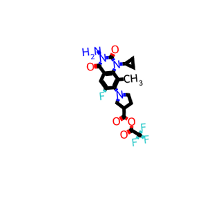 Cc1c(N2CCC(C(=O)OC(=O)C(F)(F)F)C2)c(F)cc2c(=O)n(N)c(=O)n(C3CC3)c12